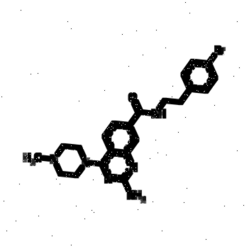 CN1CCN(c2nc(N)nc3cc(C(=O)NCCc4ccc(Br)cc4)ccc23)CC1